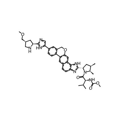 COC[C@@H]1CN[C@H](c2ncc(-c3ccc4c(c3)COc3cc5c(ccc6nc([C@@H]7C[C@@H](C)[C@@H](C)N7C(=O)[C@@H](NC(=O)OC)C(C)C)[nH]c65)cc3-4)[nH]2)C1